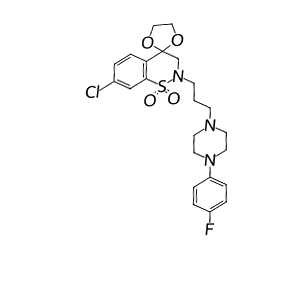 O=S1(=O)c2cc(Cl)ccc2C2(CN1CCCN1CCN(c3ccc(F)cc3)CC1)OCCO2